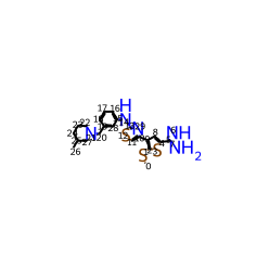 CSc1sc(C(=N)N)cc1-c1csc(Nc2cccc(CN3CCCC(C)C3)c2)n1